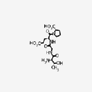 C[C@@H](O)[C@H](N)C(=O)NCC(=O)N[C@@H](CCC(=O)O)C(=O)N1CCC[C@H]1C(=O)O